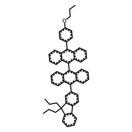 CCCOc1ccc(-c2c3ccccc3c(-c3c4ccccc4c(-c4ccc5c(c4)C(CCC)(CCC)c4ccccc4-5)c4ccccc34)c3ccccc23)cc1